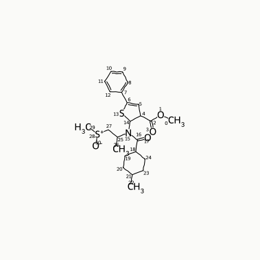 COC(=O)C1C=C(c2ccccc2)SC1N(C(=O)C1CCC(C)CC1)C(C)C[S+](C)[O-]